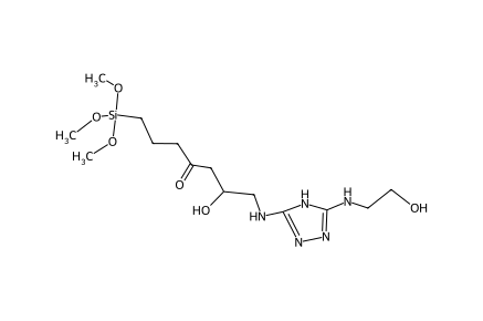 CO[Si](CCCC(=O)CC(O)CNc1nnc(NCCO)[nH]1)(OC)OC